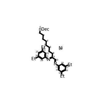 CCCCCCCCCCCCCCCCCCC(C=Nc1cc(CC)cc(CC)c1)=Nc1cc(CC)cc(CC)c1.[Ni]